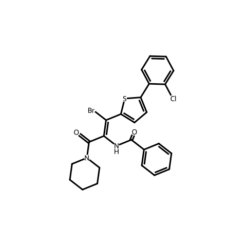 O=C(N/C(C(=O)N1CCCCC1)=C(/Br)c1ccc(-c2ccccc2Cl)s1)c1ccccc1